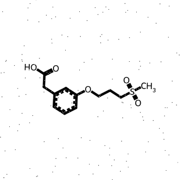 CS(=O)(=O)CCCOc1cccc(CC(=O)O)c1